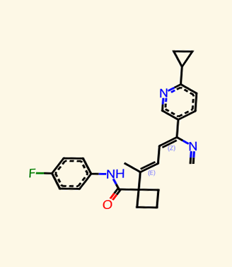 C=N/C(=C\C=C(/C)C1(C(=O)Nc2ccc(F)cc2)CCC1)c1ccc(C2CC2)nc1